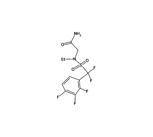 CCN(CC(N)=O)S(=O)(=O)C(F)(F)c1ccc(F)c(F)c1F